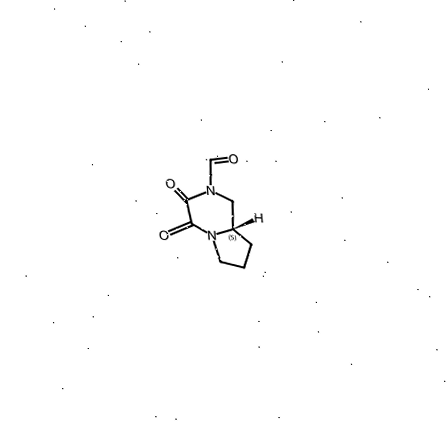 O=[C]N1C[C@@H]2CCCN2C(=O)C1=O